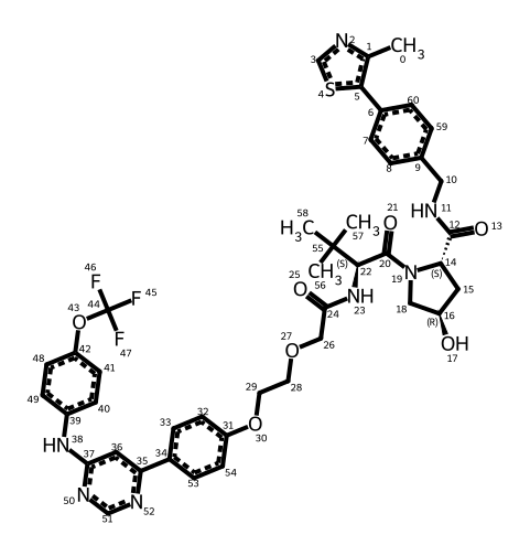 Cc1ncsc1-c1ccc(CNC(=O)[C@@H]2C[C@@H](O)CN2C(=O)[C@@H](NC(=O)COCCOc2ccc(-c3cc(Nc4ccc(OC(F)(F)F)cc4)ncn3)cc2)C(C)(C)C)cc1